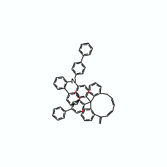 C=C1/C=C\C=C/Cc2ccccc2C(c2ccc(-c3ccccc3)cc2)(c2ccc(N(c3ccc(-c4ccccc4)cc3)c3ccccc3-c3ccccc3)cc2)c2ccccc21